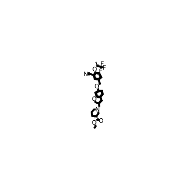 CCOC(=O)[C@@H]1CCCN(CC2=Cc3ccc(OCc4ccc(O[C@@H](C)C(F)(F)F)c(C#N)c4)cc3OC2)C1